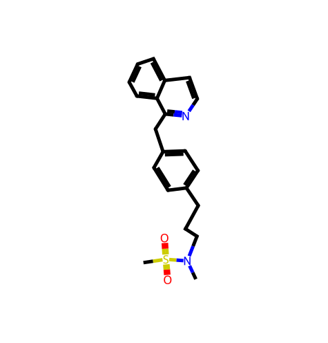 CN(CCCc1ccc(Cc2nccc3ccccc23)cc1)S(C)(=O)=O